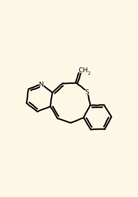 C=C1/C=c2/nccc/c2=C/Cc2ccccc2S1